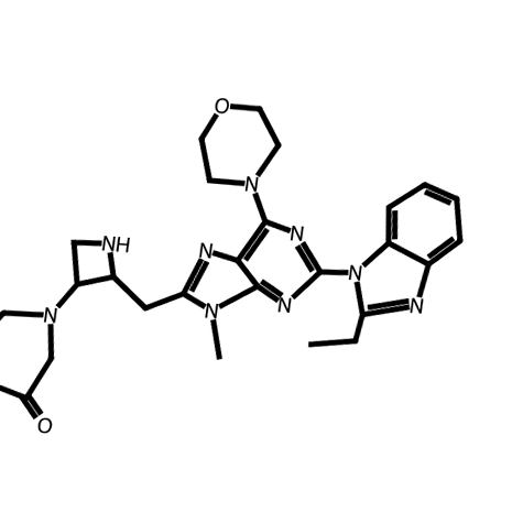 CCc1nc2ccccc2n1-c1nc(N2CCOCC2)c2nc(CC3NCC3N3CCNC(=O)C3)n(C)c2n1